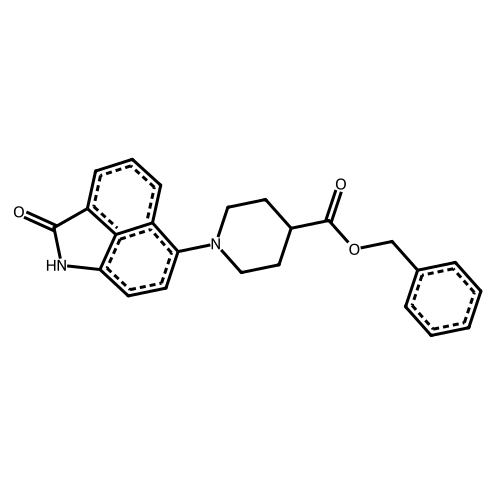 O=C1Nc2ccc(N3CCC(C(=O)OCc4ccccc4)CC3)c3cccc1c23